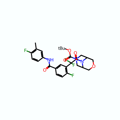 Cc1cc(NC(=O)c2ccc(F)c(C(F)(F)C(=O)N3C4COCC3CN(C(=O)OC(C)(C)C)C4)c2)ccc1F